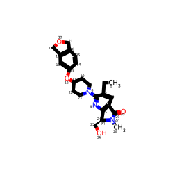 CCc1cc2c(nc1N1CCC(Oc3ccc4c(c3)COC4)CC1)[C@H](CO)N(C)C2=O